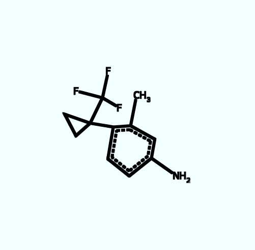 Cc1cc(N)ccc1C1(C(F)(F)F)CC1